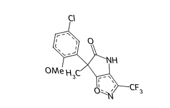 COc1ccc(Cl)cc1C1(C)C(=O)Nc2c(C(F)(F)F)noc21